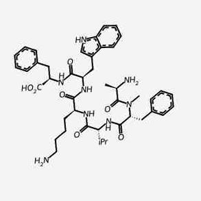 CC(C)[C@@H](NC(=O)[C@@H](Cc1ccccc1)N(C)C(=O)[C@@H](C)N)C(=O)N[C@@H](CCCCN)C(=O)N[C@H](Cc1c[nH]c2ccccc12)C(=O)N[C@H](Cc1ccccc1)C(=O)O